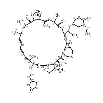 COC1CC(CC(C)C2CC(=O)C(C)/C=C(\C)C(O)C(OC)C(=O)C(C)CC(C)/C=C/C=C/C=C(\C)C(OCCC3CCOC3)CC3CCC(C)C(O)(O3)C(=O)C(=O)N3CCCCC3C(=O)O2)CCC1O